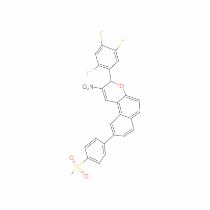 CS(=O)(=O)c1ccc(-c2ccc3ccc4c(c3c2)C=C([N+](=O)[O-])C(c2cc(F)c(F)cc2F)O4)cc1